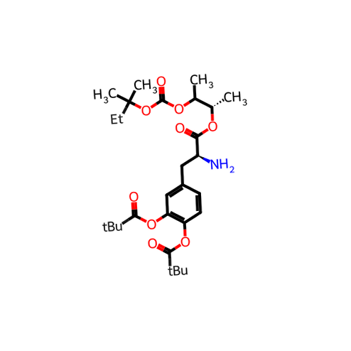 CCC(C)(C)OC(=O)OC(C)[C@H](C)OC(=O)[C@@H](N)Cc1ccc(OC(=O)C(C)(C)C)c(OC(=O)C(C)(C)C)c1